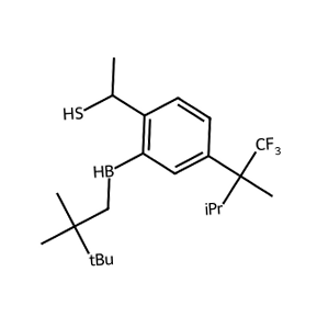 CC(S)c1ccc(C(C)(C(C)C)C(F)(F)F)cc1BCC(C)(C)C(C)(C)C